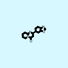 O=c1cc(-c2ccc3ncoc3c2)nc2ccccn12